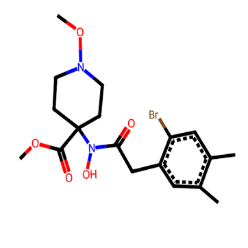 COC(=O)C1(N(O)C(=O)Cc2cc(C)c(C)cc2Br)CCN(OC)CC1